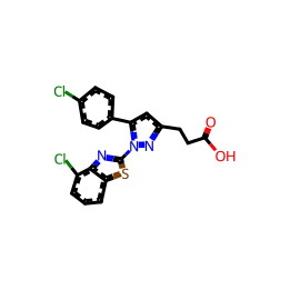 O=C(O)CCc1cc(-c2ccc(Cl)cc2)n(-c2nc3c(Cl)cccc3s2)n1